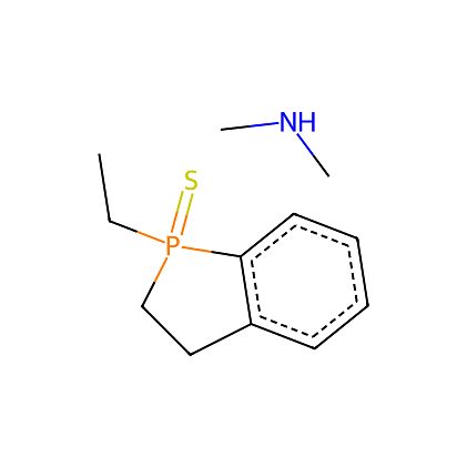 CCP1(=S)CCc2ccccc21.CNC